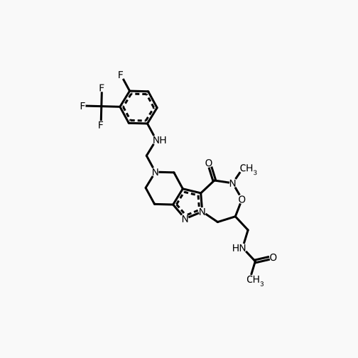 CC(=O)NCC1Cn2nc3c(c2C(=O)N(C)O1)CN(CNc1ccc(F)c(C(F)(F)F)c1)CC3